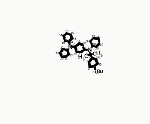 CC(C)(C)c1ccc(C(C)(C)N(c2ccc(N(c3ccccc3)c3ccccc3)cc2)C2C=CC=CC2)cc1